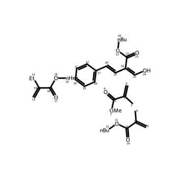 C=C(C)C(=O)OC.C=C(C)C(=O)OCCCC.C=C(CC)C(=O)OCCCCCC.CCCCOC(=O)C(C=Cc1ccccc1)=CO